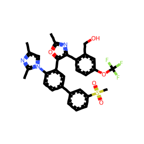 Cc1cn(-c2ccc(-c3cccc(S(C)(=O)=O)c3)cc2-c2oc(C)nc2-c2ccc(OC(F)(F)F)cc2CO)c(C)n1